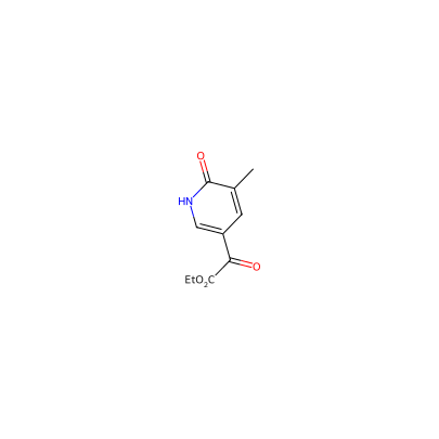 CCOC(=O)C(=O)c1c[nH]c(=O)c(C)c1